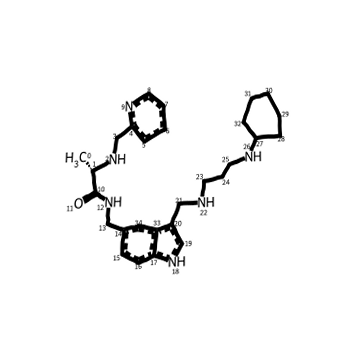 C[C@H](NCc1ccccn1)C(=O)NCc1ccc2[nH]cc(CNCCCNC3CCCCC3)c2c1